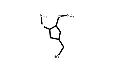 O=[N+]([O-])OC1CC(CO)CC1O[N+](=O)[O-]